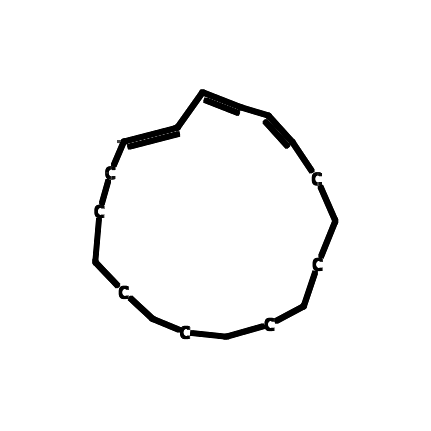 [C]1=C/C=C\C=C\CCCCCCCCCCCC/1